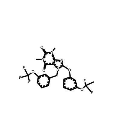 Cn1c(=O)c2c(nc(Oc3cccc(OC(C)(F)F)c3)n2Cc2cccc(OC(F)(F)F)c2)n(C)c1=O